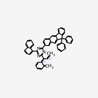 C=c1cccc/c1=C(/C=C\C)c1nc(-c2ccc3cc4c(cc3c2)C(c2ccccc2)(c2ccccc2)c2ccccc2-4)nc(-c2cccc3ccccc23)n1